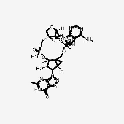 Cc1nc2c(nnn2[C@H]2[C@H](O)[C@@H]3OP(=O)(O)OC[C@@]45CO[C@@H]([C@H](n6cnc7c(N)ncnc76)O4)[C@@H]5O[P@@](=O)(S)OCC34C[C@H]24)c(=O)[nH]1